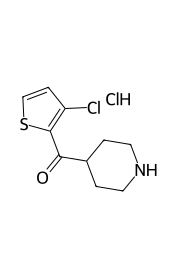 Cl.O=C(c1sccc1Cl)C1CCNCC1